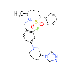 C[C@H]1CC[C@H](c2ccccc2)S(=O)(=O)N1Cc1ccc(N2CCCC(n3cnnc3)C2)cc1F